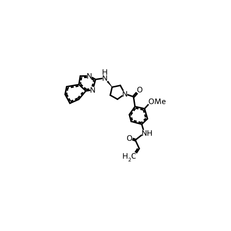 C=CC(=O)Nc1ccc(C(=O)N2CC[C@@H](Nc3ncc4ccccc4n3)C2)c(OC)c1